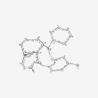 Brc1ccc(-c2ccccc2)c(N(c2ccccc2)c2ccccc2)c1